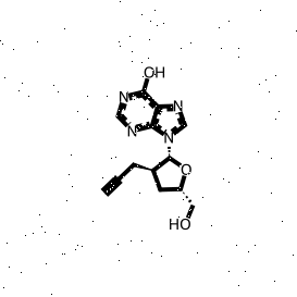 C#CC[C@@H]1C[C@@H](CO)O[C@H]1n1cnc2c(O)ncnc21